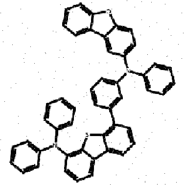 c1ccc(N(c2cccc(-c3cccc4c3sc3c(N(c5ccccc5)c5ccccc5)cccc34)c2)c2ccc3oc4ccccc4c3c2)cc1